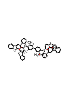 Cc1cc(-c2ccc(N(c3ccc4sc5ccccc5c4c3)c3c(C)cccc3-c3ccc4oc5ccccc5c4c3)c(C)c2)ccc1N(c1ccc2sc3ccccc3c2c1)c1c(C)cccc1-c1ccc2oc3ccccc3c2c1